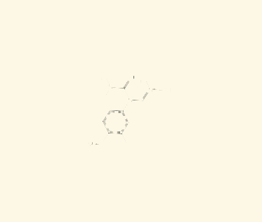 COc1ccc(N(C=[N+](C)C)C(=O)N(C)C)cc1Cl.[Cl-]